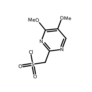 COc1cnc(CS(=O)(=O)Cl)nc1OC